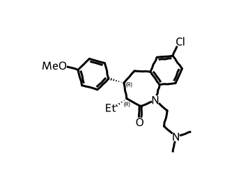 CC[C@H]1C(=O)N(CCN(C)C)c2ccc(Cl)cc2C[C@H]1c1ccc(OC)cc1